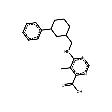 Cc1c(NCC2CCCC(c3ccccc3)C2)ncnc1C(=O)O